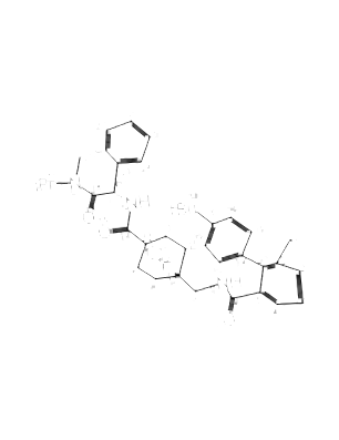 Cc1cccc(C(=O)NCC23CCC(C(=O)N[C@H](C(=O)N(C)C(C)C)c4ccccc4)(CC2)CC3)c1-c1ccc(C(C)(C)C)cc1